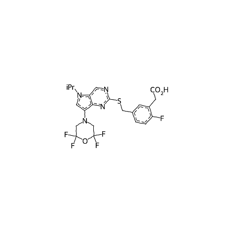 CC(C)n1cc(N2CC(F)(F)OC(F)(F)C2)c2nc(SCc3ccc(F)c(CC(=O)O)c3)ncc21